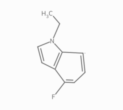 CCn1ccc2c(F)cc[c]c21